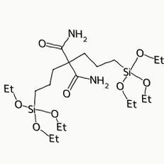 CCO[Si](CCCC(CCC[Si](OCC)(OCC)OCC)(C(N)=O)C(N)=O)(OCC)OCC